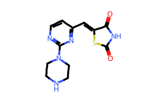 O=C1NC(=O)C(=Cc2ccnc(N3CCNCC3)n2)S1